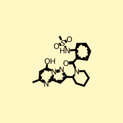 Cc1cc(O)n2nc(C3CCCCN3C(=O)c3ccccc3NS(C)(=O)=O)cc2n1